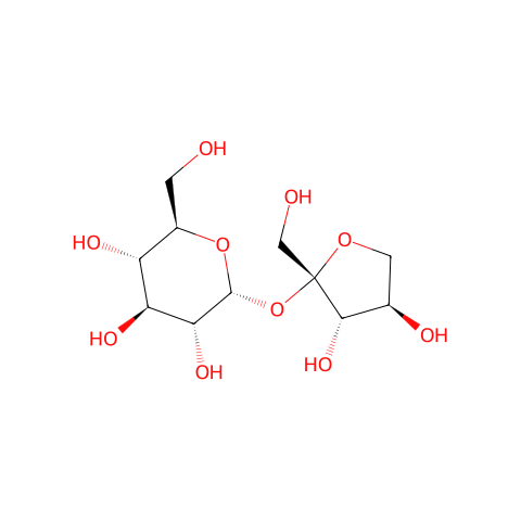 OC[C@H]1O[C@H](O[C@]2(CO)OC[C@@H](O)[C@@H]2O)[C@H](O)[C@@H](O)[C@@H]1O